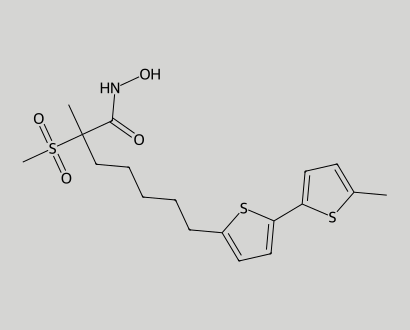 Cc1ccc(-c2ccc(CCCCCC(C)(C(=O)NO)S(C)(=O)=O)s2)s1